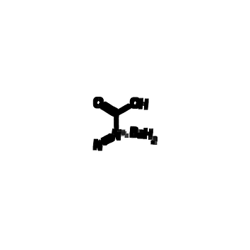 [BaH2].[N-]=[N+]C(=O)O